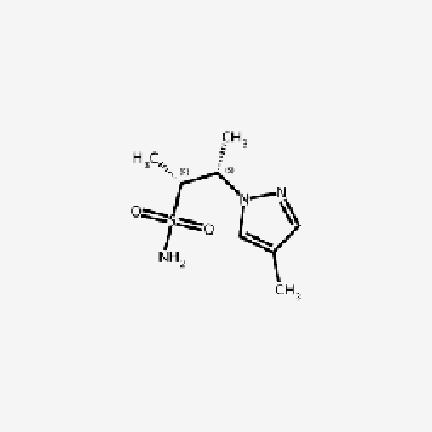 Cc1cnn([C@@H](C)[C@@H](C)S(N)(=O)=O)c1